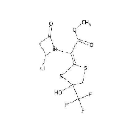 COC(=O)C(=C1SCC(O)(C(F)(F)F)S1)N1C(=O)CC1Cl